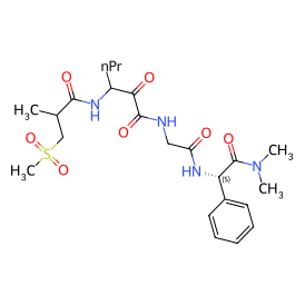 CCCC(NC(=O)C(C)CS(C)(=O)=O)C(=O)C(=O)NCC(=O)N[C@H](C(=O)N(C)C)c1ccccc1